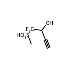 C#CC(O)C(F)(F)F.CS(=O)(=O)O